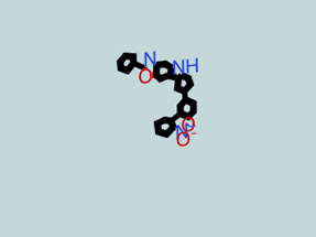 O=[N+]([O-])c1ccccc1-c1cccc(-c2ccc3[nH]c4cc5nc(-c6ccccc6)oc5cc4c3c2)c1